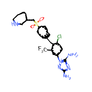 Nc1nc(N)n(-c2cc(Cl)c(-c3ccc(S(=O)(=O)CC4CCCNC4)cc3)c(C(F)(F)F)c2)n1